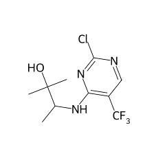 CC(Nc1nc(Cl)ncc1C(F)(F)F)C(C)(C)O